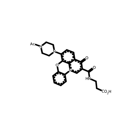 CC(=O)N1CCN(c2ccc3c(=O)c(C(=O)NCCC(=O)O)cn4c3c2Oc2ccccc2-4)CC1